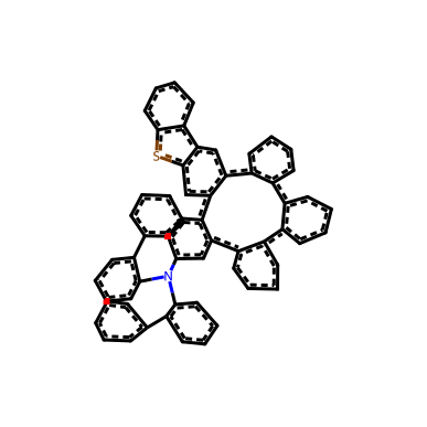 c1ccc(-c2ccccc2N(c2ccc3c(c2)c2ccccc2c2ccccc2c2ccccc2c2cc4c(cc32)sc2ccccc24)c2ccccc2-c2ccccc2)cc1